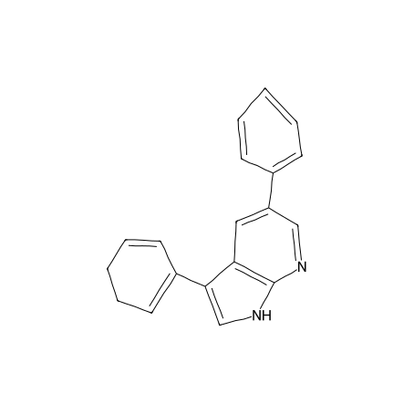 C1=CC(c2c[nH]c3ncc(-c4ccccc4)cc23)=CCC1